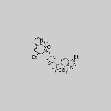 CC[C@@H]1CN(Cc2nc([C@@H](c3ccc4c(nnn4CC)c3C)C(C)(C)C(=O)O)sc2C)S(=O)(=O)c2ncccc2O1